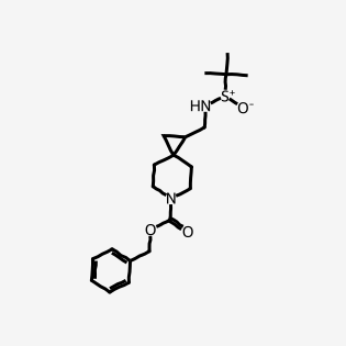 CC(C)(C)[S+]([O-])NCC1CC12CCN(C(=O)OCc1ccccc1)CC2